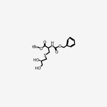 CC(C)(C)OC(=O)C(CSC[C@H](O)CO)NC(=O)OCc1ccccc1